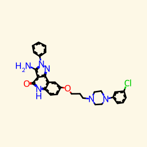 Nc1c2c(=O)[nH]c3ccc(OCCCN4CCN(c5cccc(Cl)c5)CC4)cc3c2nn1-c1ccccc1